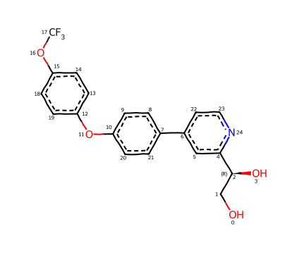 OC[C@H](O)c1cc(-c2ccc(Oc3ccc(OC(F)(F)F)cc3)cc2)ccn1